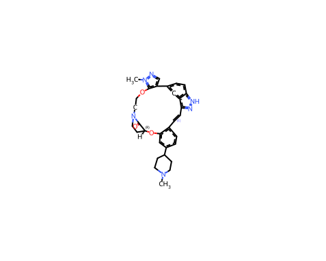 CN1CCC(c2ccc3c(c2)O[C@@H]2CCN(CCOc4c(cnn4C)-c4ccc5[nH]nc(c5c4)/C=C/3)C2=O)CC1